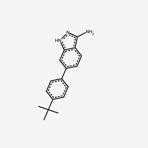 CC(C)(C)c1ccc(-c2ccc3c(N)n[nH]c3c2)cc1